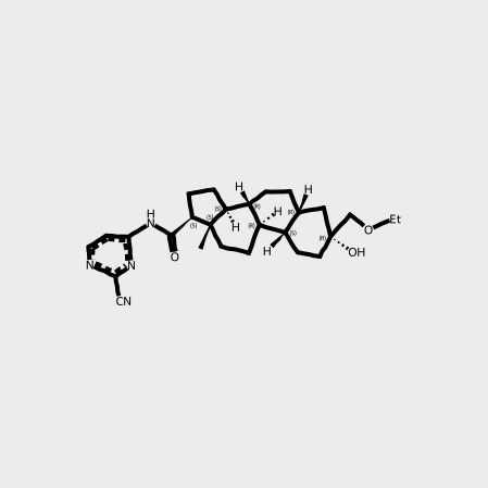 CCOC[C@@]1(O)CC[C@H]2[C@H](CC[C@@H]3[C@@H]2CC[C@]2(C)[C@@H](C(=O)Nc4ccnc(C#N)n4)CC[C@@H]32)C1